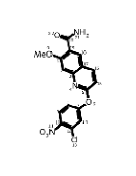 COc1cc2nc(Oc3ccc([N+](=O)[O-])c(Cl)c3)ccc2cc1C(N)=O